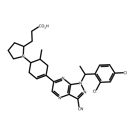 CC1CC(c2cnc3c(C#N)nn(C(C)c4ccc(Cl)cc4Cl)c3n2)=CCC1N1CCCC1CCC(=O)O